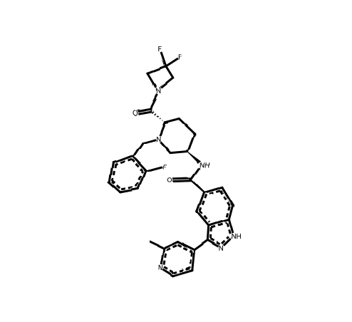 Cc1cc(-c2n[nH]c3ccc(C(=O)N[C@@H]4CC[C@@H](C(=O)N5CC(F)(F)C5)N(Cc5ccccc5F)C4)cc23)ccn1